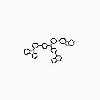 c1cc(-c2ccc3c(c2)oc2ccccc23)cc(N(c2ccc(-c3cccc(-n4c5ccccc5c5ccccc54)c3)cc2)c2ccc(-c3cccc4ccccc34)cc2)c1